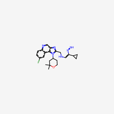 CC1(C)CC(n2c(CN/C=C(\N=N)C3CC3)nc3cnc4ccc(F)cc4c32)CCO1